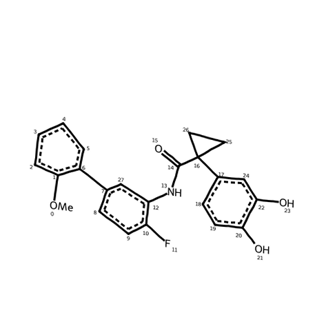 COc1ccccc1-c1ccc(F)c(NC(=O)C2(c3ccc(O)c(O)c3)CC2)c1